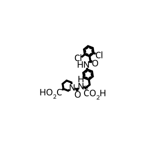 O=C(Nc1ccc(C[C@H](NC(=O)N2CCCC(C(=O)O)C2)C(=O)O)cc1)c1c(Cl)cccc1Cl